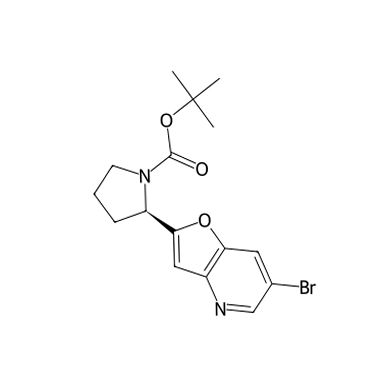 CC(C)(C)OC(=O)N1CCC[C@@H]1c1cc2ncc(Br)cc2o1